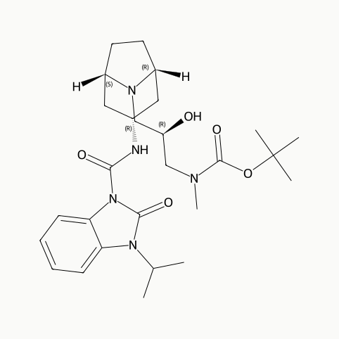 CC(C)n1c(=O)n(C(=O)N[C@H]2C[C@H]3CC[C@@H](C2)N3C[C@@H](O)CN(C)C(=O)OC(C)(C)C)c2ccccc21